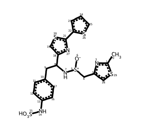 Cc1nc(C[S+]([O-])NC(Cc2ccc(NS(=O)(=O)O)cc2)c2csc(-c3cccs3)n2)cs1